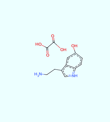 NCCc1c[nH]c2ccc(O)cc12.O=C(O)C(=O)O